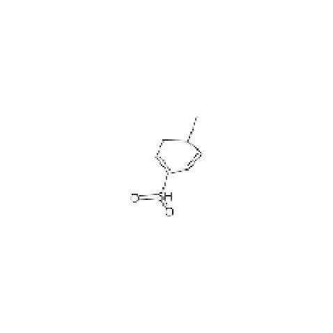 CC1C=CC([SH](=O)=O)=CC1